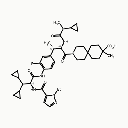 CCn1nccc1C(=O)N[C@H](C(=O)Nc1ccc([C@H](C)[C@@H](NC(=O)N(C)C2CC2)C(=O)N2CCC3(CC2)CCC(C)(C(=O)O)CC3)cc1F)C(C1CC1)C1CC1